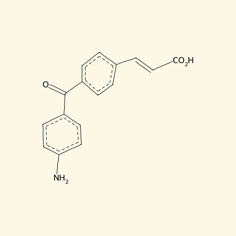 Nc1ccc(C(=O)c2ccc(C=CC(=O)O)cc2)cc1